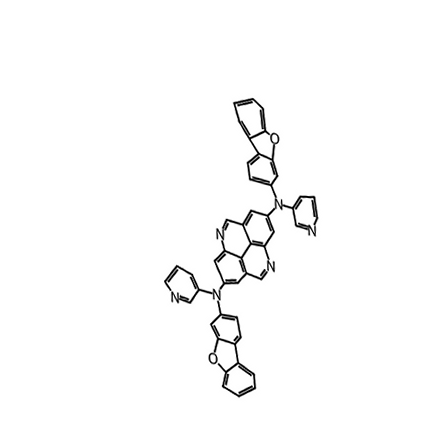 c1cncc(N(c2cc3cnc4cc(N(c5cccnc5)c5ccc6c(c5)oc5ccccc56)cc5cnc(c2)c3c54)c2ccc3c(c2)oc2ccccc23)c1